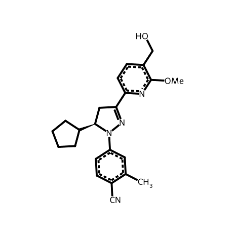 COc1nc(C2=NN(c3ccc(C#N)c(C)c3)[C@@H](C3CCCC3)C2)ccc1CO